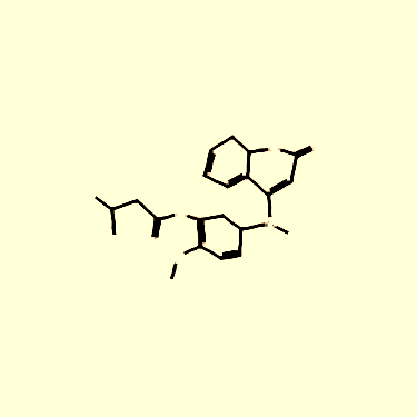 COC1=C(OC(=O)CC(C)C)CC(N(C)C2=CC(=O)OC3CC=CC=C23)C=C1